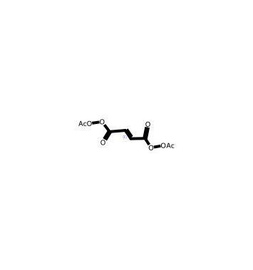 CC(=O)OOC(=O)/C=C/C(=O)OOC(C)=O